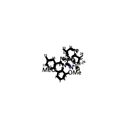 COc1cccc(OC)c1-n1c(-c2cncc(C)c2)nn(C)/c1=N\S(=O)(=O)[C@@H](C)[C@H](C)c1ncc(C)cn1